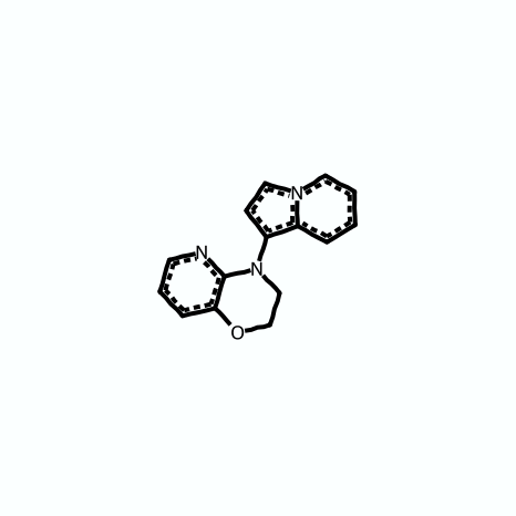 c1cnc2c(c1)OCCN2c1ccn2ccccc12